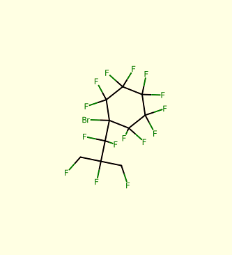 FCC(F)(CF)C(F)(F)C1(Br)C(F)(F)C(F)(F)C(F)(F)C(F)(F)C1(F)F